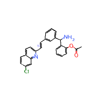 CC(=O)Oc1ccccc1C(N)c1cccc(/C=C/c2ccc3ccc(Cl)cc3n2)c1